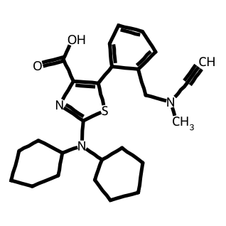 C#CN(C)Cc1ccccc1-c1sc(N(C2CCCCC2)C2CCCCC2)nc1C(=O)O